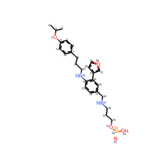 CC(C)Oc1ccc(CCCNc2ccc(CNCCCO[PH](=O)O)cc2-c2ccoc2)cc1